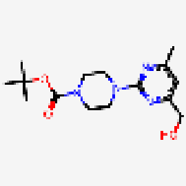 Cc1cc(CO)nc(N2CCN(C(=O)OC(C)(C)C)CC2)n1